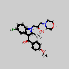 COc1ccc(C(=O)c2c(C)n(CC(O)CN3CCOCC3)c3ccc(F)cc23)cc1